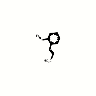 CCSc1ccccc1C=CC(=O)O